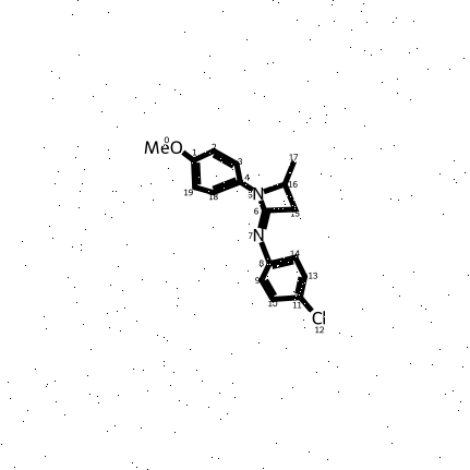 COc1ccc(N2/C(=N/c3ccc(Cl)cc3)CC2C)cc1